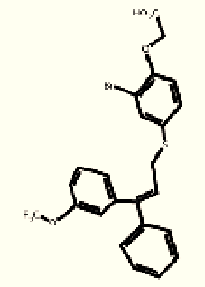 O=C(O)COc1ccc(SCC=C(c2ccccc2)c2cccc(OC(F)(F)F)c2)cc1Br